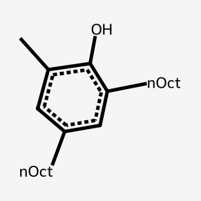 CCCCCCCCc1cc(C)c(O)c(CCCCCCCC)c1